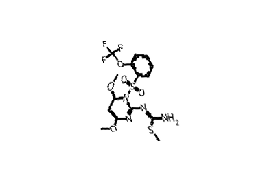 COC1=CC(OC)N(S(=O)(=O)c2ccccc2OC(F)(F)F)C(N=C(N)SC)=N1